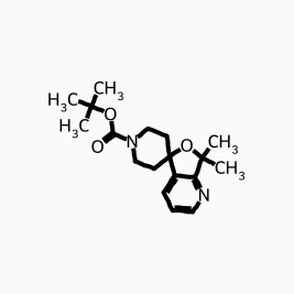 CC(C)(C)OC(=O)N1CCC2(CC1)OC(C)(C)c1ncccc12